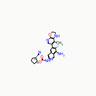 Cc1c(-c2cc3cc(NC(=O)O[C@@H]4CCC[C@H]4C#N)ncc3c(N)c2F)cnc2c1NCCO2